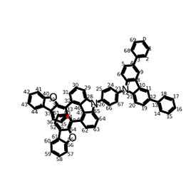 c1ccc(-c2ccc3c(c2)c2cc(-c4ccccc4)ccc2n3-c2ccc(-n3c4cccc(-c5cccc6c5oc5ccccc56)c4c4c(-c5cccc6c5oc5ccccc56)cccc43)cc2)cc1